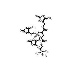 Cc1oc(=O)oc1COC(=O)C(CCC(=O)OCCS(C)(C)C)CP(=O)(OCc1oc(=O)oc1C)OCc1oc(=O)oc1C